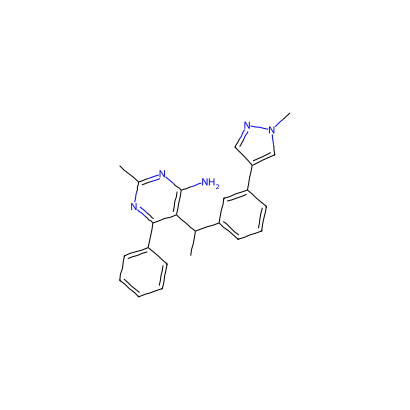 Cc1nc(N)c(C(C)c2cccc(-c3cnn(C)c3)c2)c(-c2ccccc2)n1